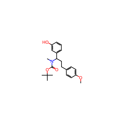 COc1ccc(CCC(c2cccc(O)c2)N(C)C(=O)OC(C)(C)C)cc1